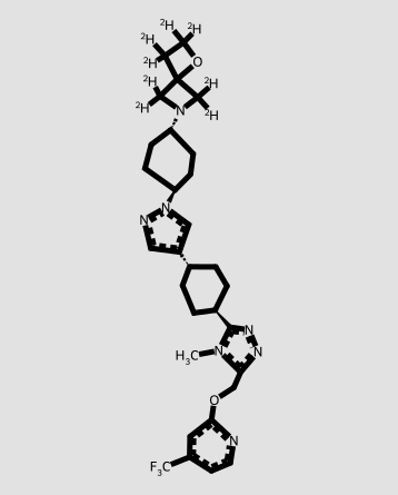 [2H]C1([2H])OC2(C([2H])([2H])N([C@H]3CC[C@H](n4cc([C@H]5CC[C@H](c6nnc(COc7cc(C(F)(F)F)ccn7)n6C)CC5)cn4)CC3)C2([2H])[2H])C1([2H])[2H]